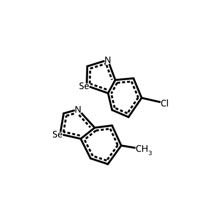 Cc1ccc2[se]cnc2c1.Clc1ccc2[se]cnc2c1